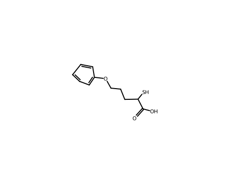 O=C(O)C(S)CCCOc1ccccc1